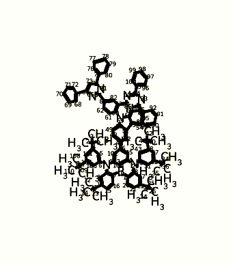 CC(C)(C)c1cc(N2c3cc(C(C)(C)C)ccc3B3c4ccc(C(C)(C)C)cc4N(c4cc(C(C)(C)C)cc(C(C)(C)C)c4)c4cc(-c5ccc6c(c5)c5ccccc5n6-c5ccc(-c6nc(-c7ccccc7)cc(-c7ccccc7)n6)cc5-c5nc(-c6ccccc6)nc(-c6ccccc6)n5)cc2c43)cc(C(C)(C)C)c1